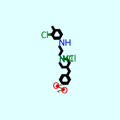 Cc1ccc(NCCCN2CCC(Cc3ccc(S(C)(=O)=O)cc3)CC2)cc1Cl.Cl.Cl